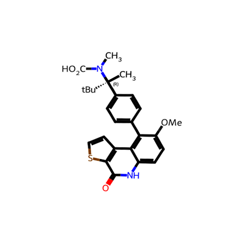 COc1ccc2[nH]c(=O)c3sccc3c2c1-c1ccc([C@](C)(N(C)C(=O)O)C(C)(C)C)cc1